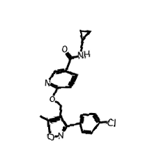 Cc1onc(-c2ccc(Cl)cc2)c1COc1ccc(C(=O)NC2CC2)cn1